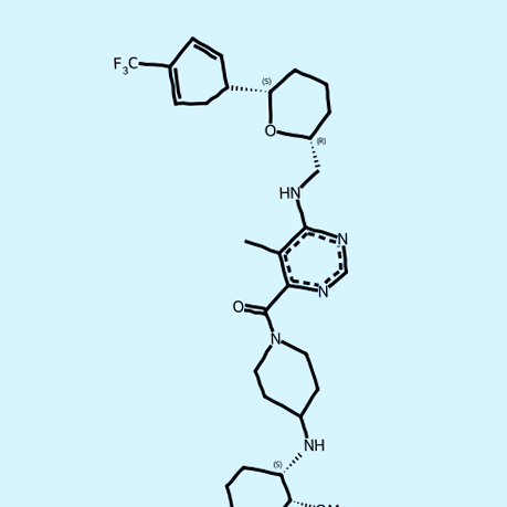 CO[C@@H]1COCC[C@@H]1NC1CCN(C(=O)c2ncnc(NC[C@H]3CCC[C@@H](C4C=CC(C(F)(F)F)=CC4)O3)c2C)CC1